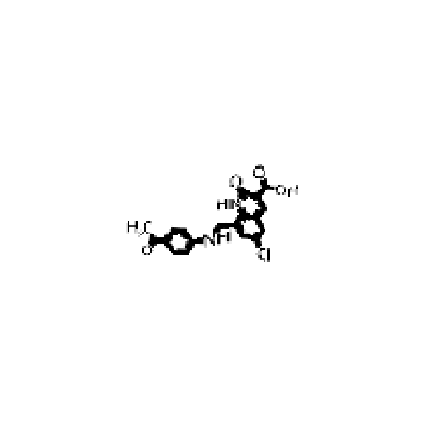 CC(=O)c1ccc(NCc2cc(Cl)cc3cc(C(=O)O)c(=O)[nH]c23)cc1